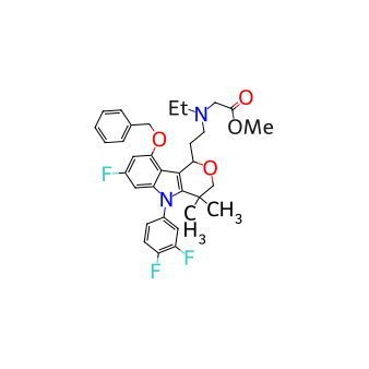 CCN(CCC1OCC(C)(C)c2c1c1c(OCc3ccccc3)cc(F)cc1n2-c1ccc(F)c(F)c1)CC(=O)OC